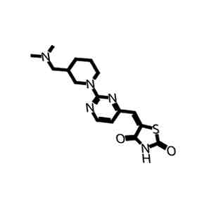 CN(C)CC1CCCN(c2nccc(C=C3SC(=O)NC3=O)n2)C1